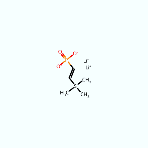 C[Si](C)(C)C=CP(=O)([O-])[O-].[Li+].[Li+]